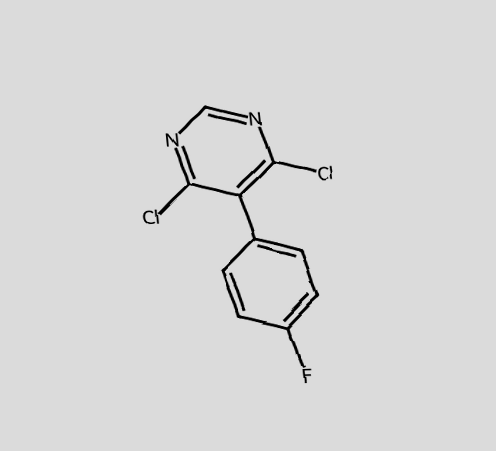 Fc1ccc(-c2c(Cl)ncnc2Cl)cc1